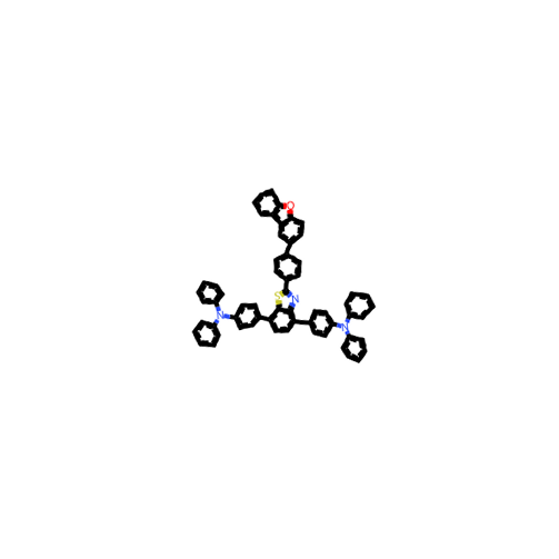 c1ccc(N(c2ccccc2)c2ccc(-c3ccc(-c4ccc(N(c5ccccc5)c5ccccc5)cc4)c4sc(-c5ccc(-c6ccc7oc8ccccc8c7c6)cc5)nc34)cc2)cc1